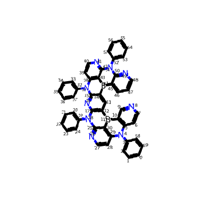 c1ccc(N2c3ccncc3B3c4cc5c(nc4N(c4ccccc4)c4nccc2c43)N(c2ccccc2)c2ccnc3c2B5c2cccnc2N3c2ccccc2)cc1